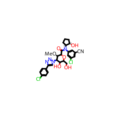 COC1C(C(=O)N(c2cc(Cl)cc(C#N)c2)[C@H]2CCC[C@@H]2O)OC(CO)C(O)C1n1cc(-c2ccc(Cl)cc2)nn1